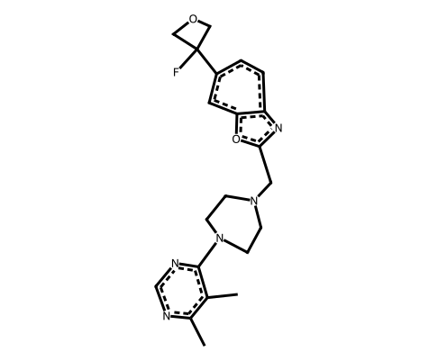 Cc1ncnc(N2CCN(Cc3nc4ccc(C5(F)COC5)cc4o3)CC2)c1C